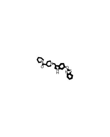 O=C(C1CCN(Cc2c[nH]c3cc(Oc4nc5ccccc5s4)ccc23)CC1)N1CCCCC1